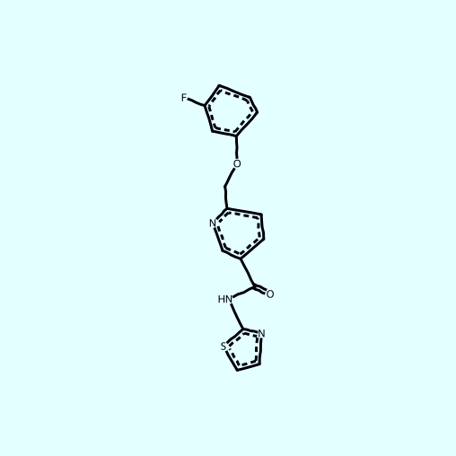 O=C(Nc1nccs1)c1ccc(COc2cccc(F)c2)nc1